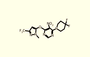 Cn1nc(C(F)(F)F)cc1Oc1ncnc(N2CCC(F)(F)CC2)c1[N+](=O)[O-]